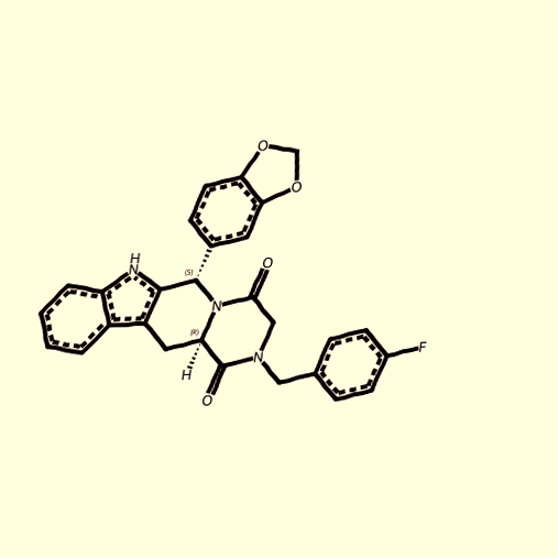 O=C1[C@H]2Cc3c([nH]c4ccccc34)[C@H](c3ccc4c(c3)OCO4)N2C(=O)CN1Cc1ccc(F)cc1